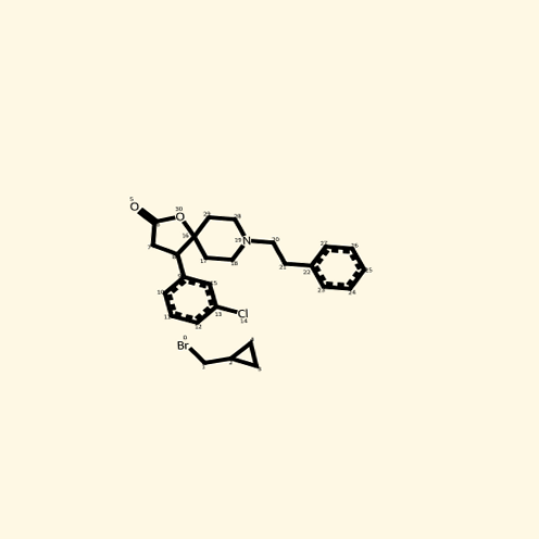 BrCC1CC1.O=C1CC(c2cccc(Cl)c2)C2(CCN(CCc3ccccc3)CC2)O1